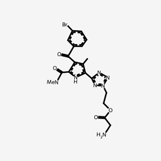 CNC(=O)c1[nH]c(-c2nnn(CCOC(=O)CN)n2)c(C)c1C(=O)c1cccc(Br)c1